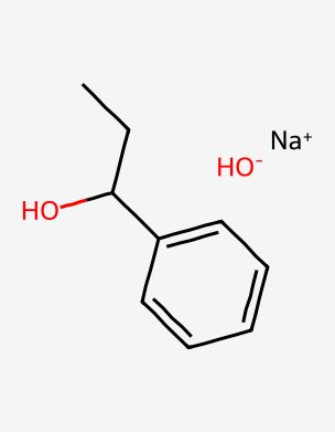 CCC(O)c1ccccc1.[Na+].[OH-]